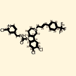 O=C(NCc1ccnc(Cl)c1)n1c2c(c3cc(Cl)c(Cl)cc31)CN(C/C=C/c1ccc(C(F)(F)F)cc1)CC2